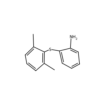 Cc1cccc(C)c1Sc1ccccc1N